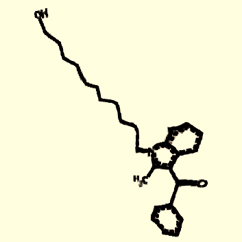 Cc1c(C(=O)c2ccccc2)c2ccccc2n1CCCCCCCCCCCO